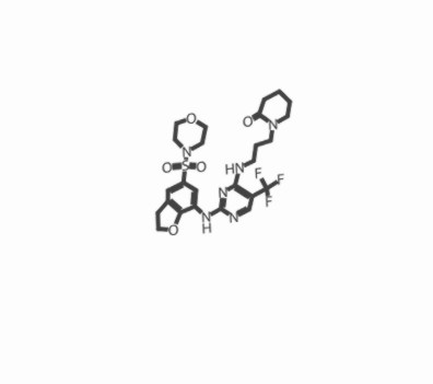 O=C1CCCCN1CCCNc1nc(Nc2cc(S(=O)(=O)N3CCOCC3)cc3c2OCC3)ncc1C(F)(F)F